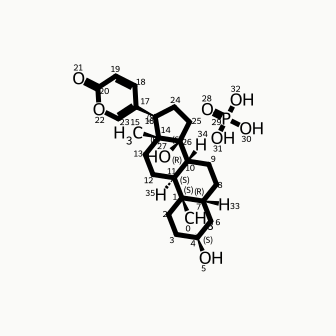 C[C@]12CC[C@H](O)C[C@H]1CC[C@@H]1[C@@H]2CC[C@]2(C)[C@@H](c3ccc(=O)oc3)CC[C@]12O.O=P(O)(O)O